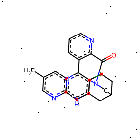 Cc1ccc(NC2CC3CCC2N(C(=O)c2ncccc2-c2ncccc2F)C3)nc1